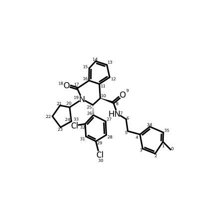 Cc1ccc(CCNC(=O)[C@@H]2c3ccccc3C(=O)N(C3CCCC3)[C@H]2c2ccc(Cl)cc2Cl)cc1